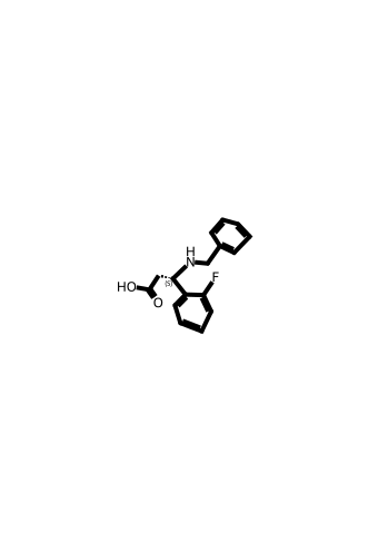 O=C(O)C[C@H](NCc1ccccc1)c1ccccc1F